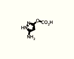 Nc1cc(OC(=O)O)n[nH]1